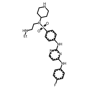 CCNCCN(C1CCNCC1)S(=O)(=O)c1ccc(Nc2nccc(Nc3ccc(F)cc3)n2)cc1